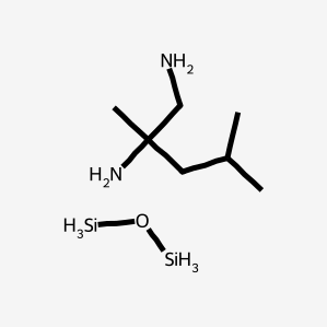 CC(C)CC(C)(N)CN.[SiH3]O[SiH3]